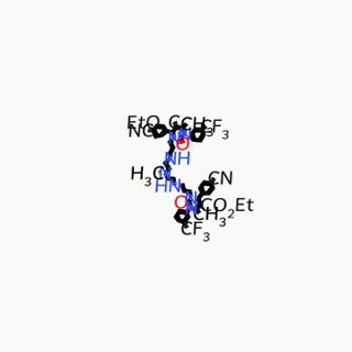 CCOC(=O)C1=C(C)N(c2cccc(C(F)(F)F)c2)C(=O)N(CCCNCCN(C)CCNCCCN2C(=O)N(c3cccc(C(F)(F)F)c3)C(C)=C(C(=O)OCC)C2c2ccc(C#N)cc2)C1c1ccc(C#N)cc1